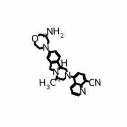 C[C@@H]1CN(c2ccc(C#N)c3ncccc23)C[C@@H]2c3ccc(N4CCOC[C@@H](N)C4)cc3CN12